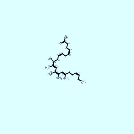 BC(/C=C(\B)CC/C=C\CC)=C(B)/C=C(\B)[C@@H](O)C/C=C\C/C=C\CCC(=O)O